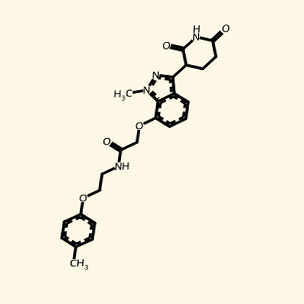 Cc1ccc(OCCNC(=O)COc2cccc3c(C4CCC(=O)NC4=O)nn(C)c23)cc1